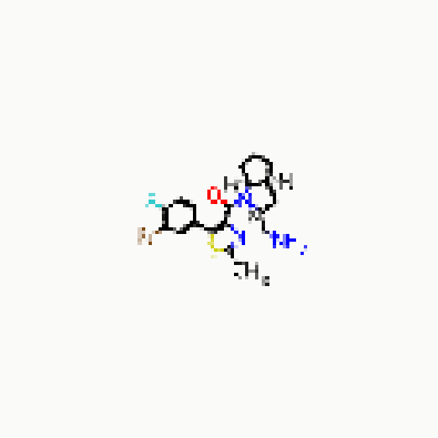 Cc1nc(C(=O)N2[C@H](CN)C[C@@H]3CCC[C@@H]32)c(-c2ccc(F)c(Br)c2)s1